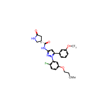 COCCOc1ccc(F)c(-n2nc(NC(=O)[C@@H]3CNC(=O)C3)cc2-c2cccc(OC(F)(F)F)c2)c1